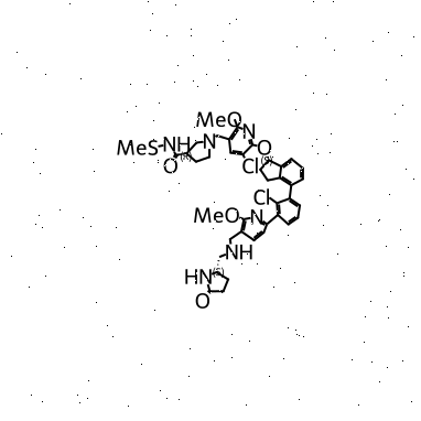 COc1nc(-c2cccc(-c3cccc4c3CC[C@@H]4Oc3nc(OC)c(CN4CC[C@@H](C(=O)NSC)C4)cc3Cl)c2Cl)ccc1CNC[C@@H]1CCC(=O)N1